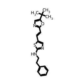 CC(C)(C)c1cnc(C=Cc2cnc(NCCc3ccccc3)s2)o1